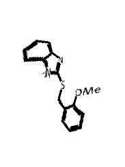 COc1ccccc1CSC1=Nc2ccccc2[N]1